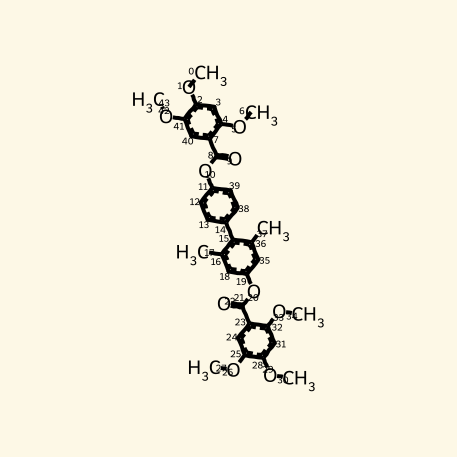 COc1cc(OC)c(C(=O)Oc2ccc(-c3c(C)cc(OC(=O)c4cc(OC)c(OC)cc4OC)cc3C)cc2)cc1OC